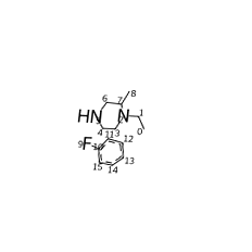 CCN1CCNCC1C.Fc1ccccc1